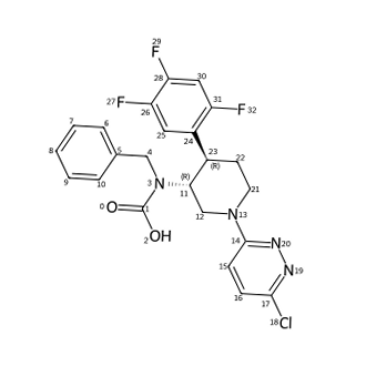 O=C(O)N(Cc1ccccc1)[C@H]1CN(c2ccc(Cl)nn2)CC[C@@H]1c1cc(F)c(F)cc1F